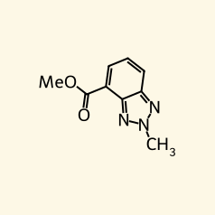 COC(=O)c1cccc2nn(C)nc12